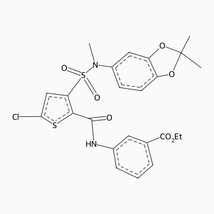 CCOC(=O)c1cccc(NC(=O)c2sc(Cl)cc2S(=O)(=O)N(C)c2ccc3c(c2)OC(C)(C)O3)c1